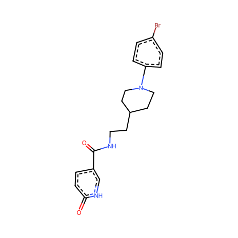 O=C(NCCC1CCN(c2ccc(Br)cc2)CC1)c1ccc(=O)[nH]c1